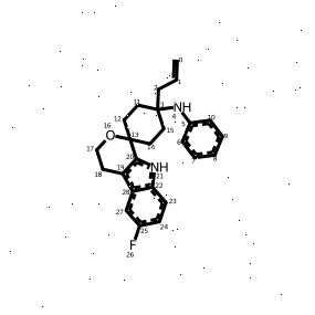 C=CCC1(Nc2ccccc2)CCC2(CC1)OCCc1c2[nH]c2ccc(F)cc12